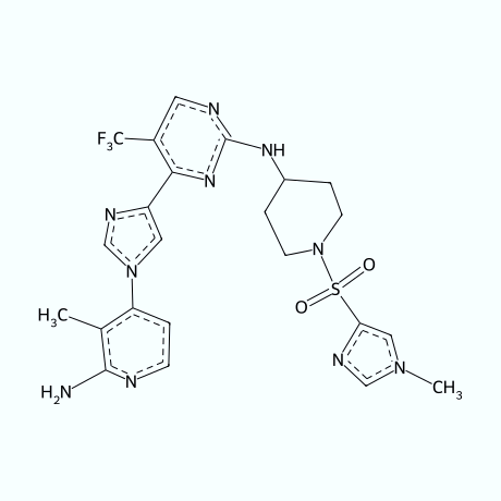 Cc1c(-n2cnc(-c3nc(NC4CCN(S(=O)(=O)c5cn(C)cn5)CC4)ncc3C(F)(F)F)c2)ccnc1N